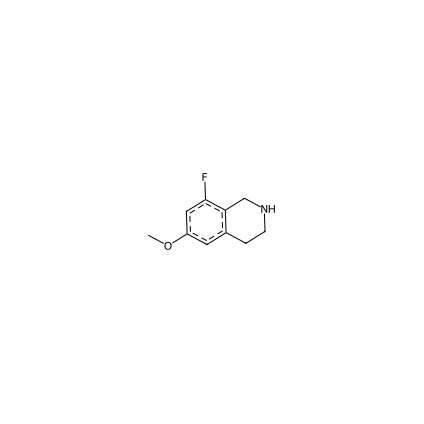 COc1cc(F)c2c(c1)CCNC2